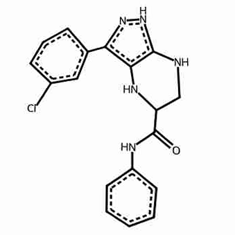 O=C(Nc1ccccc1)C1CNc2[nH]nc(-c3cccc(Cl)c3)c2N1